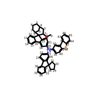 CCC1CC2CCCC(C2)C12c1ccccc1-c1cc(N(c3ccc4c(c3)C3(CCCC3)c3ccccc3-4)c3ccc4sc5ccccc5c4c3)ccc12